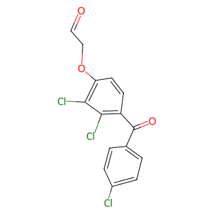 O=CCOc1ccc(C(=O)c2ccc(Cl)cc2)c(Cl)c1Cl